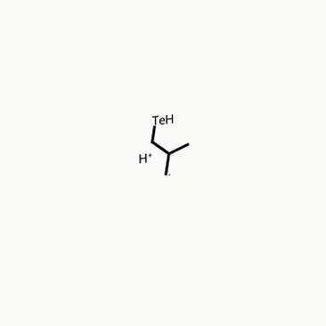 [CH2]C(C)C[TeH].[H+]